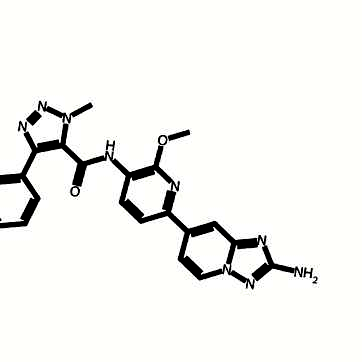 COc1nc(-c2ccn3nc(N)nc3c2)ccc1NC(=O)c1c(-c2ccccc2)nnn1C